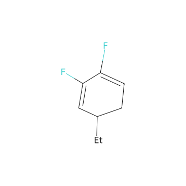 CCC1C=C(F)C(F)=CC1